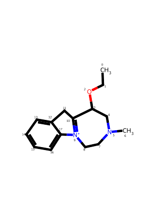 CCOC1CN(C)CC[N+]2=C1Cc1ccccc12